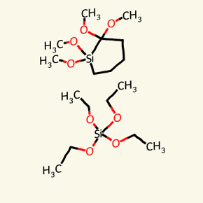 CCO[Si](OCC)(OCC)OCC.COC1(OC)CCCC[Si]1(OC)OC